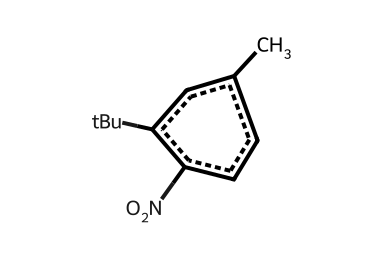 Cc1ccc([N+](=O)[O-])c(C(C)(C)C)c1